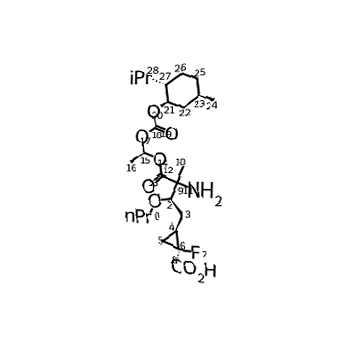 CCCO[C@H](C[C@@H]1C[C@@]1(F)C(=O)O)C(C)(N)C(=O)O[C@@H](C)OC(=O)O[C@@H]1C[C@H](C)CC[C@H]1C(C)C